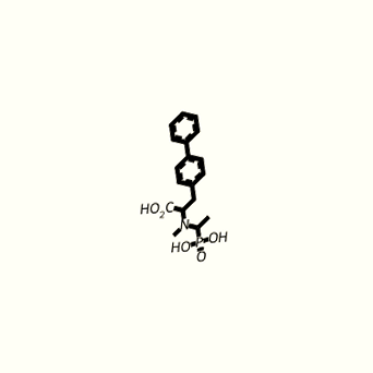 CC(N(C)C(Cc1ccc(-c2ccccc2)cc1)C(=O)O)P(=O)(O)O